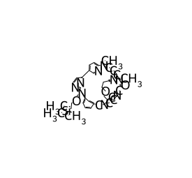 CN1CCCN(C)c2ccc(cn2)-c2ccnc(n2)N(COCC[Si](C)(C)C)c2cccc(c2)CN2CCN(CC1=O)CC2COCCC#N